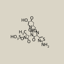 C[C@H]1[C@H](NC(=O)/C(=N\OCC2CC(=O)C(O)=CN2O)c2csc(N)n2)C(=O)N1OS(=O)(=O)O